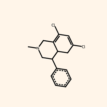 CN1CC2=C(Cl)C=C(Cl)CC2C(c2ccccc2)C1